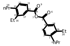 CCCc1ccc(C(=O)OC(=O)c2ccc(CCC)c(CC)c2)cc1CC